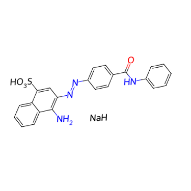 Nc1c(/N=N/c2ccc(C(=O)Nc3ccccc3)cc2)cc(S(=O)(=O)O)c2ccccc12.[NaH]